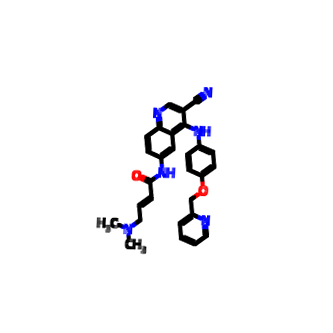 CN(C)C/C=C/C(=O)Nc1ccc2ncc(C#N)c(Nc3ccc(OCc4ccccn4)cc3)c2c1